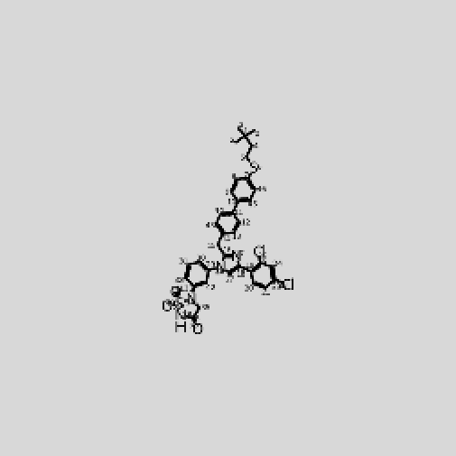 CC(C)(C)CCSc1ccc(-c2ccc(Cc3nc(-c4ccc(Cl)cc4Cl)cn3-c3cccc(N4CC(=O)NS4(=O)=O)c3)cc2)cc1